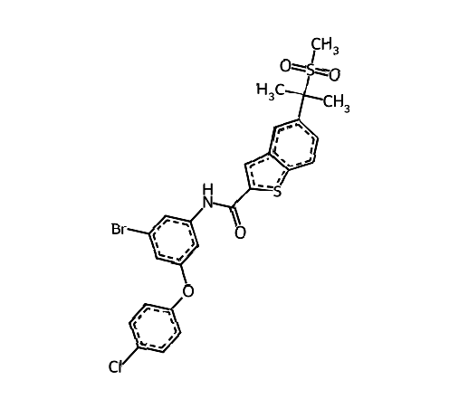 CC(C)(c1ccc2sc(C(=O)Nc3cc(Br)cc(Oc4ccc(Cl)cc4)c3)cc2c1)S(C)(=O)=O